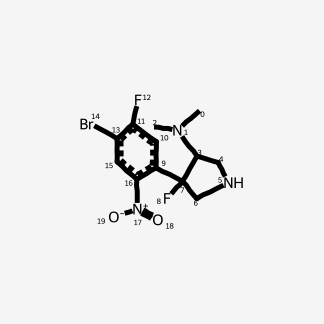 CN(C)C1CNCC1(F)c1cc(F)c(Br)cc1[N+](=O)[O-]